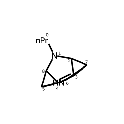 CCCN1C2C3=C4C(NC32)C41